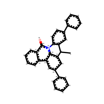 CC1c2cc(-c3ccccc3)ccc2-n2c(=O)c3ccccc3c3cc(-c4ccccc4)cc1c32